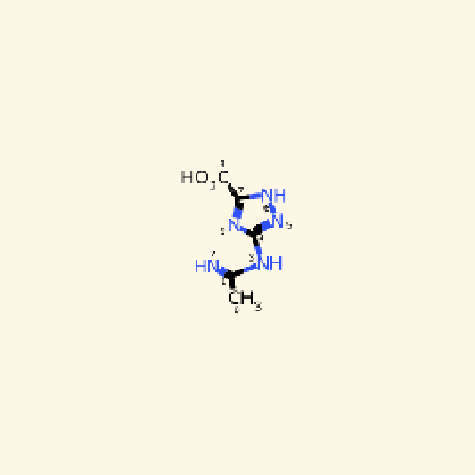 CC(=N)Nc1n[nH]c(C(=O)O)n1